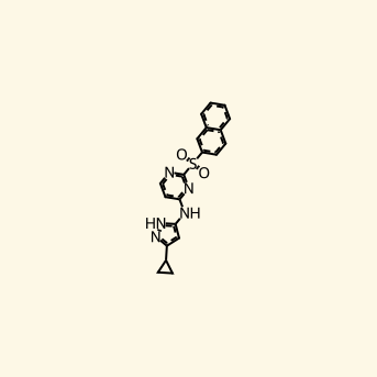 O=S(=O)(c1ccc2ccccc2c1)c1nccc(Nc2cc(C3CC3)n[nH]2)n1